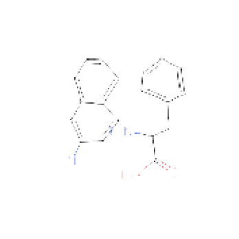 NC(Cc1ccccc1)C(=O)O.Nc1ccc2ccccc2c1